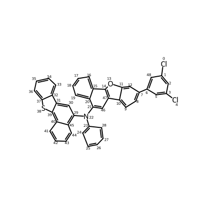 Clc1cc(Cl)cc(-c2ccc3c(c2)oc2c4ccccc4c(N(c4ccccc4)c4cc5c6ccccc6sc5c5ccccc45)cc32)c1